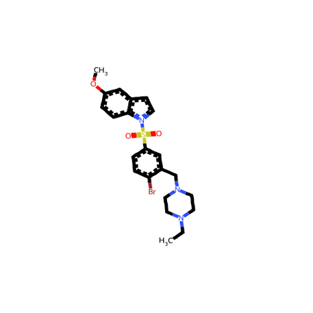 CCN1CCN(Cc2cc(S(=O)(=O)n3ccc4cc(OC)ccc43)ccc2Br)CC1